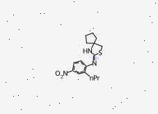 CCCc1cc([N+](=O)[O-])ccc1/N=C1\NC2(CCCC2)CS1